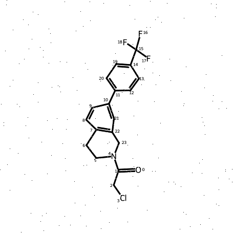 O=C(CCl)N1CCc2ccc(-c3ccc(C(F)(F)F)cc3)cc2C1